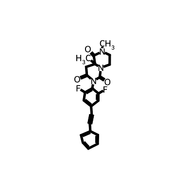 CN1CCN2C(=O)N(c3c(F)cc(C#Cc4ccccc4)cc3F)C(=O)CC2(C)C1=O